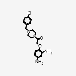 Nc1ccc(OCC(=O)N2CCN(Cc3ccc(Cl)cc3)CC2)c(N)c1